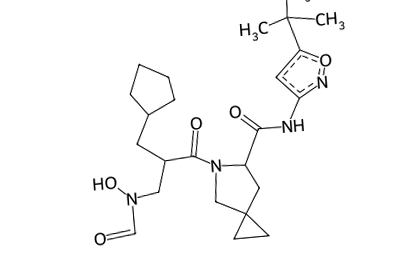 CC(C)(C)c1cc(NC(=O)C2CC3(CC3)CN2C(=O)C(CC2CCCC2)CN(O)C=O)no1